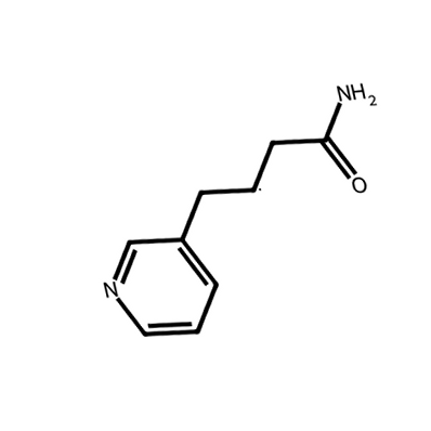 NC(=O)C[CH]Cc1cccnc1